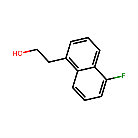 OCCc1cccc2c(F)cccc12